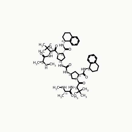 CN[C@@H](C)C(=O)N[C@H](C(=O)N1C[C@@H](NC(=O)N[C@H]2C[C@@H](C(=O)N[C@@H]3CCCc4ccccc43)N(C(=O)[C@@H](NC(=O)[C@H](C)NC)C(C)(C)C)C2)C[C@H]1C(=O)N[C@@H]1CCCc2ccccc21)C(C)(C)C